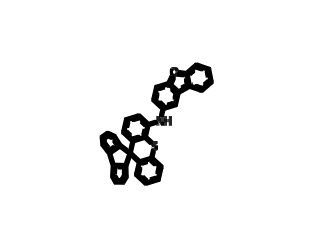 c1ccc2c(c1)Sc1c(Nc3ccc4oc5ccccc5c4c3)cccc1C21c2ccccc2-c2ccccc21